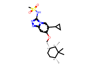 C[C@@H]1CC[C@H](COc2cc3nnc(NS(C)(=O)=O)n3cc2C2CC2)[C@H](C)C1(C)C